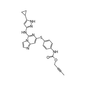 CC#CCOC(=O)Nc1ccc(Sc2cc3nccn3c(Nc3cc(C4CC4)[nH]n3)n2)cc1